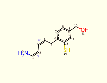 N/C=C\C=C/Cc1ccc(CO)cc1S